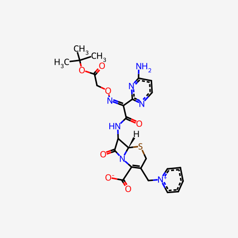 CC(C)(C)OC(=O)CON=C(C(=O)NC1C(=O)N2C(C(=O)[O-])=C(C[n+]3ccccc3)CS[C@@H]12)c1nccc(N)n1